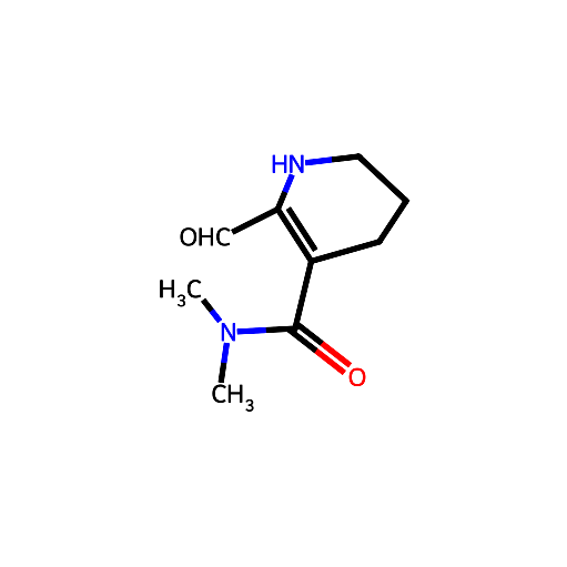 CN(C)C(=O)C1=C(C=O)NCCC1